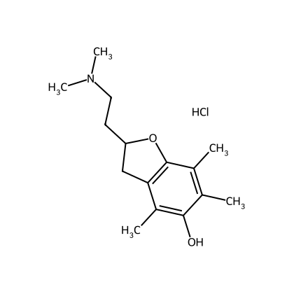 Cc1c(C)c2c(c(C)c1O)CC(CCN(C)C)O2.Cl